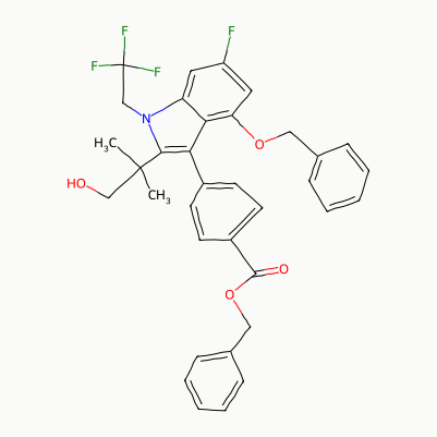 CC(C)(CO)c1c(-c2ccc(C(=O)OCc3ccccc3)cc2)c2c(OCc3ccccc3)cc(F)cc2n1CC(F)(F)F